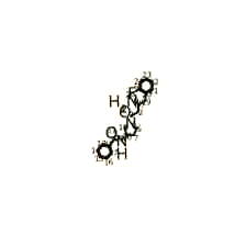 N[C@@H](CC(=O)N1CC[C@@H](NC(=O)c2ccccc2)C1)Cc1ccccc1F